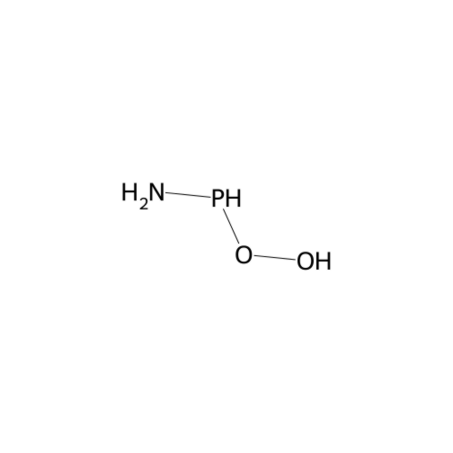 NPOO